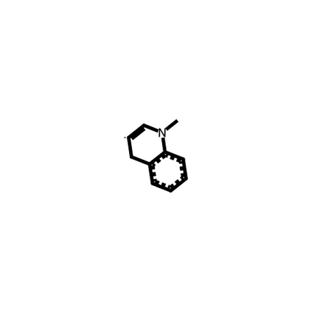 CN1C=[C]Cc2ccccc21